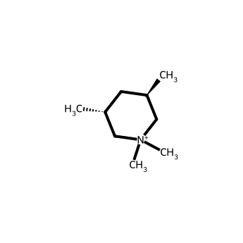 C[C@@H]1C[C@@H](C)C[N+](C)(C)C1